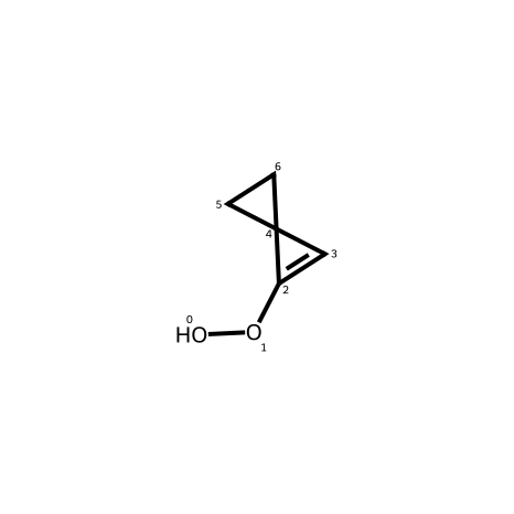 OOC1=CC12CC2